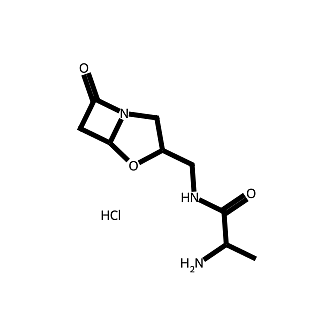 CC(N)C(=O)NCC1CN2C(=O)CC2O1.Cl